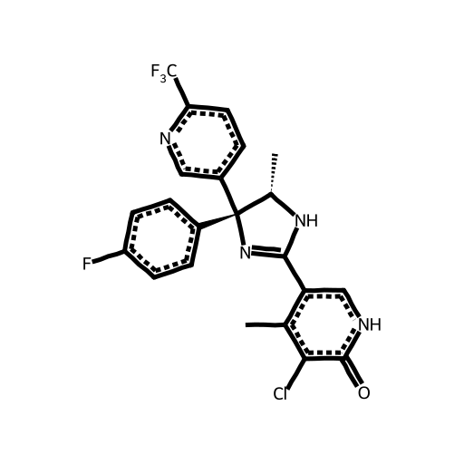 Cc1c(C2=N[C@](c3ccc(F)cc3)(c3ccc(C(F)(F)F)nc3)[C@H](C)N2)c[nH]c(=O)c1Cl